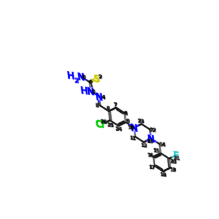 NC(=S)NN=Cc1ccc(N2CCN(Cc3ccccc3F)CC2)cc1Cl